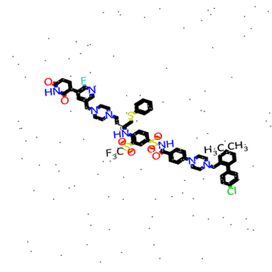 CC1(C)CCC(c2ccc(Cl)cc2)=C(CN2CCN(c3ccc(C(=O)NS(=O)(=O)c4ccc(N[C@H](CCN5CCN(Cc6cnc(F)c(C7CCC(=O)NC7=O)c6)CC5)CSc5ccccc5)c(S(=O)(=O)C(F)(F)F)c4)cc3)CC2)C1